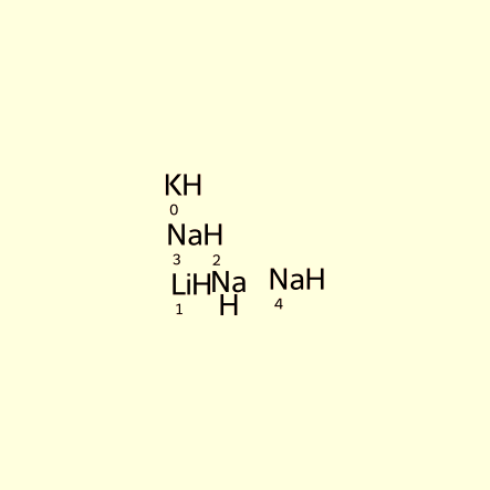 [KH].[LiH].[NaH].[NaH].[NaH]